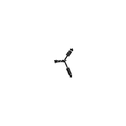 N#C[N+](=[N-])C#N